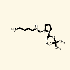 CC(C)(C)OC(=O)N1CCC[C@@H]1CNCCCCN